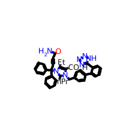 CCCC1N(Cc2ccc(-c3ccccc3-c3nnn[nH]3)cc2)C(C(=O)O)=C(CC)N1C(C#CC(N)=O)(c1ccccc1)c1ccccc1